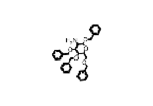 NC1C(OCc2ccccc2)OC(COCc2ccccc2)C(OCc2ccccc2)C1OCc1ccccc1